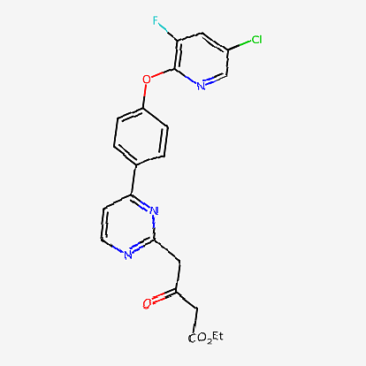 CCOC(=O)CC(=O)Cc1nccc(-c2ccc(Oc3ncc(Cl)cc3F)cc2)n1